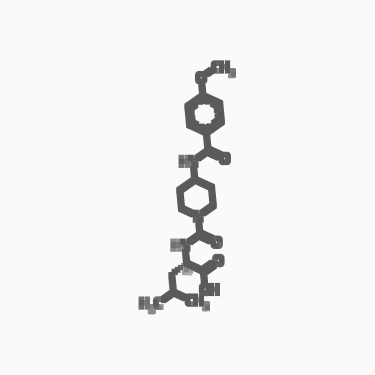 COc1ccc(C(=O)NC2CCN(C(=O)N[C@@H](CC(C)C)C(=O)O)CC2)cc1